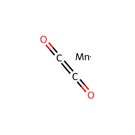 O=C=C=O.[Mn]